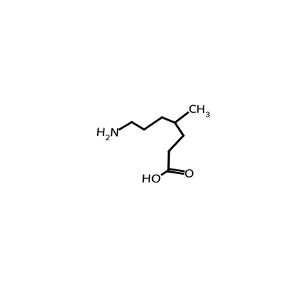 CC(CCCN)CCC(=O)O